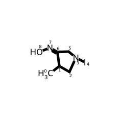 CC1CN(I)C/C1=N/O